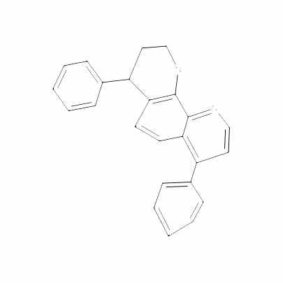 c1ccc(-c2ccnc3c4c(ccc23)C(c2ccccc2)CCN4)cc1